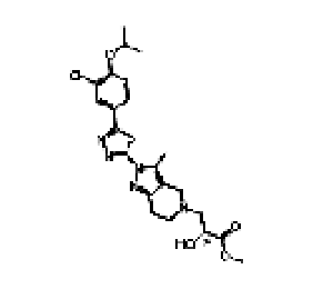 COC(=O)[C@H](O)CN1CCc2nn(-c3nnc(-c4ccc(OC(C)C)c(Cl)c4)s3)c(C)c2C1